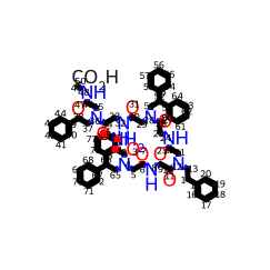 NCC(=O)N(CC(=O)NCC(=O)N(CCc1ccccc1)CC(=O)NCC(=O)N(CC(=O)NCC(=O)N(CCc1ccccc1)CC(=O)NCC(=O)O)CC(c1ccccc1)c1ccccc1)CC(c1ccccc1)c1ccccc1